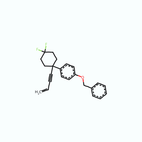 C=CC#CC1(c2ccc(OCc3ccccc3)cc2)CCC(F)(F)CC1